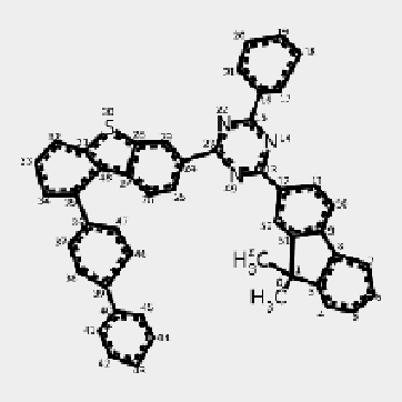 CC1(C)c2ccccc2-c2ccc(-c3nc(-c4ccccc4)nc(-c4ccc5c(c4)sc4cccc(-c6ccc(-c7ccccc7)cc6)c45)n3)cc21